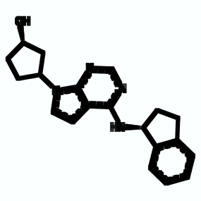 O[C@@H]1CCC(n2ccc3c(N[C@H]4CCc5ccccc54)ncnc32)C1